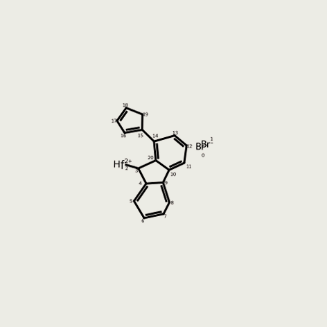 [Br-].[Br-].[Hf+2][CH]1c2ccccc2-c2cccc(C3=CC=CC3)c21